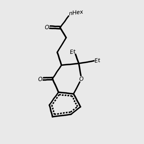 CCCCCCC(=O)CCC1C(=O)c2ccccc2OC1(CC)CC